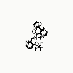 O=C(NCc1ncccc1OC(F)(F)F)c1nccnc1-c1ncco1